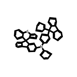 c1ccc(N(c2ccc(C3(c4ccccc4)c4ccccc4-c4ccccc43)cc2)c2ccc3c(c2)C2(c4ccccc4Sc4ccccc42)c2ccccc2-3)cc1